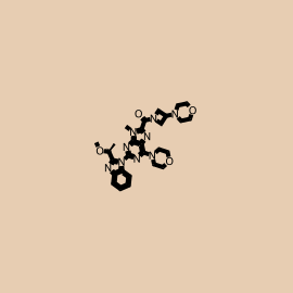 CO[C@@H](C)c1nc2ccccc2n1-c1nc(N2CCOCC2)c2nc(C(=O)N3CC(N4CCOCC4)C3)n(C)c2n1